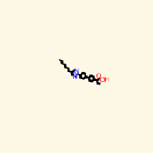 CCCCCCCc1cnc(-c2ccc(-c3ccc(C(CC)C(=O)O)cc3)cc2)nc1